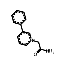 NC(=O)C[n+]1c[c]cc(-c2ccccc2)c1